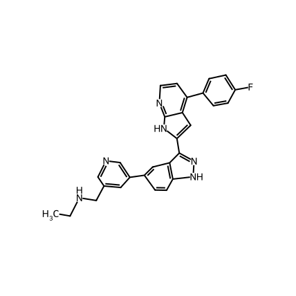 CCNCc1cncc(-c2ccc3[nH]nc(-c4cc5c(-c6ccc(F)cc6)ccnc5[nH]4)c3c2)c1